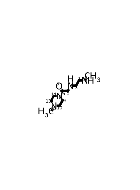 CNCCNCC(=O)N1CCN(C)CC1